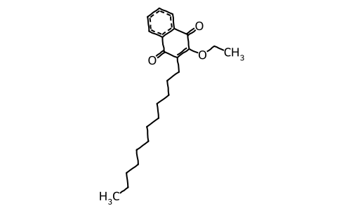 CCCCCCCCCCCCC1=C(OCC)C(=O)c2ccccc2C1=O